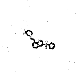 O=S(=O)(c1ccccc1)c1cnc2c(CCN3CCCC(F)(F)C3)cccc2c1